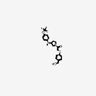 CN(c1ccc(OC(F)(F)F)cc1)C1CCN(C(=O)COc2ccc(CO)cc2)C1